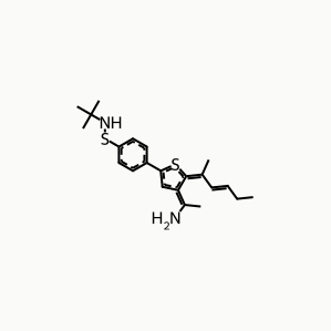 CC/C=C/C(C)=c1/sc(-c2ccc(SNC(C)(C)C)cc2)c/c1=C(/C)N